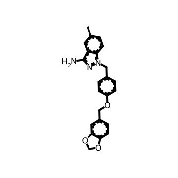 Cc1ccc2c(c1)c(N)nn2Cc1ccc(OCc2ccc3c(c2)OCO3)cc1